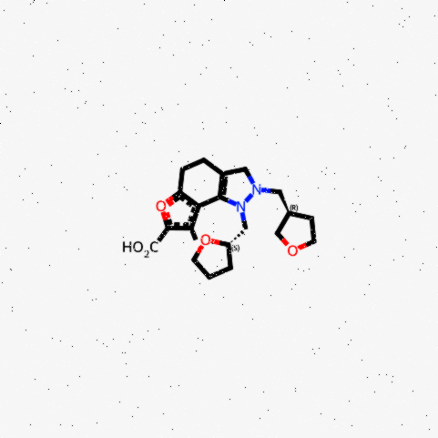 Cc1c(C(=O)O)oc2c1C1=C(CC2)CN(C[C@H]2CCOC2)N1C[C@@H]1CCCO1